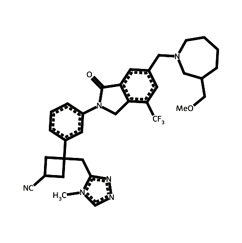 COCC1CCCCN(Cc2cc3c(c(C(F)(F)F)c2)CN(c2cccc(C4(Cc5nncn5C)CC(C#N)C4)c2)C3=O)C1